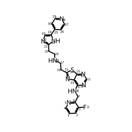 Fc1cccnc1CNc1ncnc2sc(CCNCCc3ncc(-c4ccncc4)[nH]3)nc12